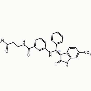 NC(=O)CCNC(=O)c1cccc(N/C(=C2\C(=O)Nc3cc(C(=O)O)ccc32)c2ccccc2)c1